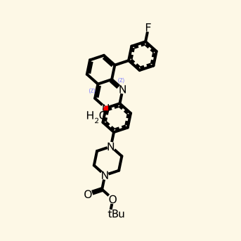 C=N/C=C1/C=CC=C(c2cccc(F)c2)/C1=N/c1ccc(N2CCN(C(=O)OC(C)(C)C)CC2)cc1